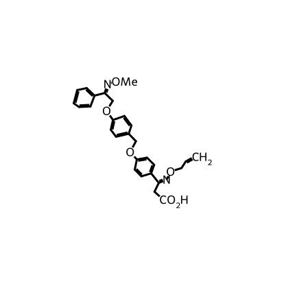 C=CCO/N=C(/CC(=O)O)c1ccc(OCc2ccc(OC/C(=N\OC)c3ccccc3)cc2)cc1